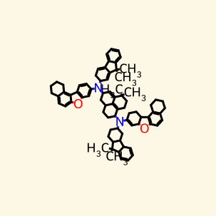 CC1(C)CCC2=C3C1=CC(N(c1ccc4c(c1)oc1ccc5c(c14)CCCC5)C1C=C4C(=CC1)c1ccccc1C4(C)C)CC3CCC2N(C1=CC2Oc3ccc4c(c3C2CC1)CCCC4)C1CCC2C(C1)C1C=CC=CC1C2(C)C